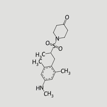 CNc1cc(C)c(CC(C)S(=O)(=O)N2CCC(=O)CC2)c(C)c1